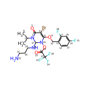 CC(C)N1C(=O)C(Br)=C(OCc2ccc(F)cc2F)N(OC(=O)C(F)(F)F)C1NCCCN